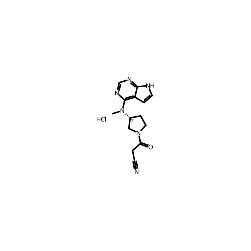 CN(c1ncnc2[nH]ccc12)[C@@H]1CCN(C(=O)CC#N)C1.Cl